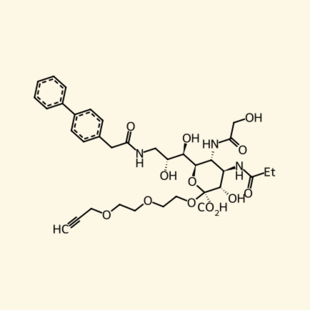 C#CCOCCOCCO[C@@]1(C(=O)O)O[C@@H]([C@H](O)[C@H](O)CNC(=O)Cc2ccc(-c3ccccc3)cc2)[C@H](NC(=O)CO)[C@@H](NC(=O)CC)[C@@H]1O